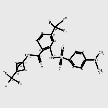 CN(C)c1ccc(S(=O)(=O)Nc2cc(C(F)(F)F)ccc2C(=O)NC23CC(C(F)(F)F)(C2)C3)cc1